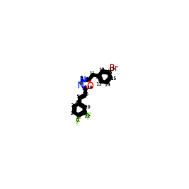 Fc1ccc(/C=C/c2nnc(Cc3cccc(Br)c3)o2)cc1F